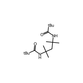 CC(C)(CC(C)(C)NC(=O)C(C)(C)C)NC(=O)C(C)(C)C